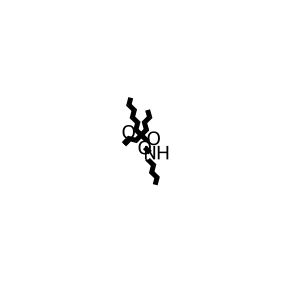 C=CCC(CCCC)(C(=O)CCCCC)C(=O)ONCCCCC